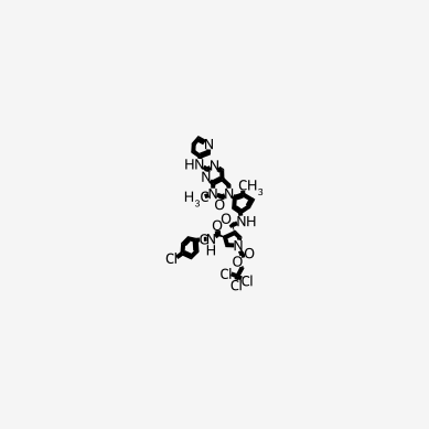 Cc1ccc(NC(=O)[C@@H]2CN(C(=O)OCC(Cl)(Cl)Cl)C[C@H]2C(=O)NCc2ccc(Cl)cc2)cc1N1Cc2cnc(NC3=CN=CCC3)nc2N(C)C1=O